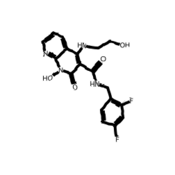 O=C(NCc1ccc(F)cc1F)c1c(NCCO)c2cccnc2n(O)c1=O